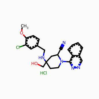 COc1ccc(CNC2(CO)CCN(c3nncc4ccccc34)C(C#N)C2)cc1Cl.Cl